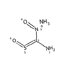 N.NC(N=O)=S=O